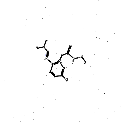 C=C(C[n+]1nc(Cl)ccc1/N=C/N(C)C)OCC